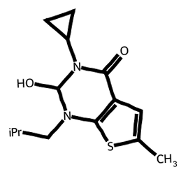 Cc1cc2c(s1)N(CC(C)C)C(O)N(C1CC1)C2=O